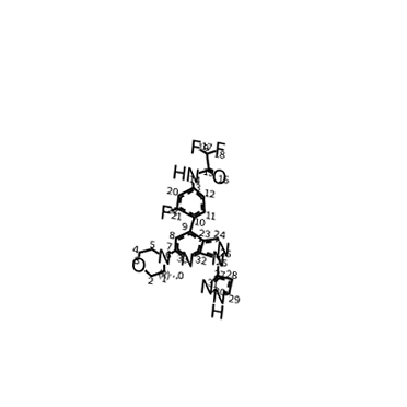 C[C@@H]1COCCN1c1cc(-c2ccc(NC(=O)C(F)F)cc2F)c2cnn(-c3cc[nH]n3)c2n1